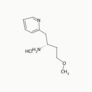 COCC[C@H](N)Cc1ccccn1.Cl